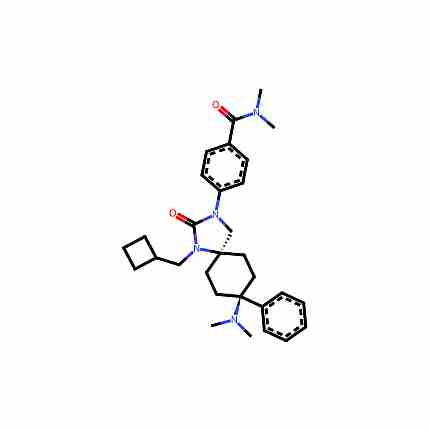 CN(C)C(=O)c1ccc(N2C[C@]3(CC[C@](c4ccccc4)(N(C)C)CC3)N(CC3CCC3)C2=O)cc1